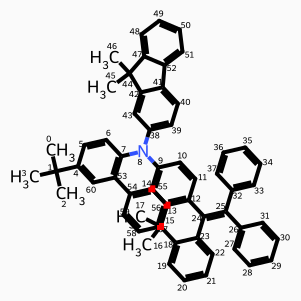 CC(C)(C)c1ccc(N(c2ccc3c(c2)C(C)(C)c2ccccc2C3=C(c2ccccc2)c2ccccc2)c2ccc3c(c2)C(C)(C)c2ccccc2-3)c(-c2ccccc2)c1